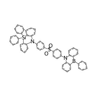 O=S(=O)(c1ccc(N2c3ccccc3B(c3ccccc3)c3ccccc32)cc1)c1ccc(N2c3ccccc3[Si](c3ccccc3)(c3ccccc3)c3ccccc32)cc1